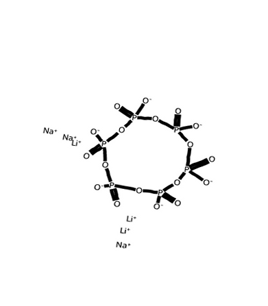 O=P1([O-])OP(=O)([O-])OP(=O)([O-])OP(=O)([O-])OP(=O)([O-])OP(=O)([O-])O1.[Li+].[Li+].[Li+].[Na+].[Na+].[Na+]